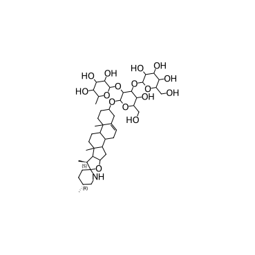 CC1OC(OC2C(OC3CCC4(C)C(=CCC5C4CCC4(C)C5CC5OC6(CC[C@@H](C)CN6)[C@@H](C)C54)C3)OC(CO)C(O)C2OC2OC(CO)C(O)C(O)C2O)C(O)C(O)C1O